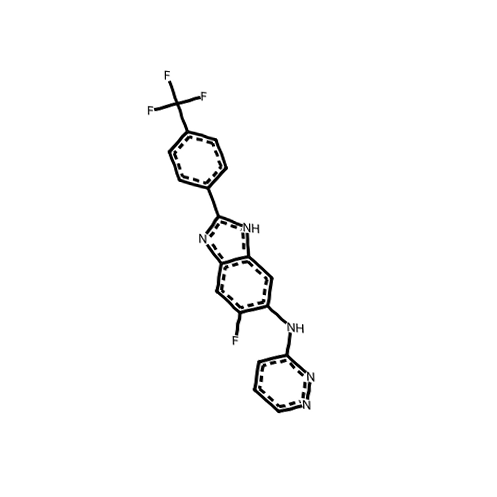 Fc1cc2nc(-c3ccc(C(F)(F)F)cc3)[nH]c2cc1Nc1cccnn1